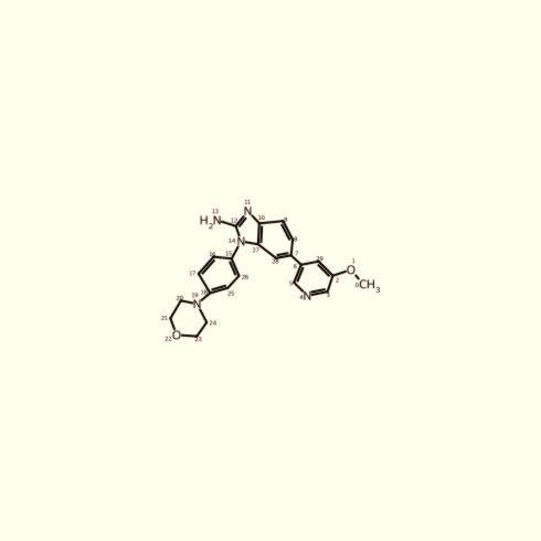 COc1cncc(-c2ccc3nc(N)n(-c4ccc(N5CCOCC5)cc4)c3c2)c1